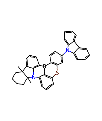 CC12CCCCC1(C)N1c3cccc4c3B(c3ccc(-n5c6ccccc6c6ccccc65)cc3S4)c3cccc2c31